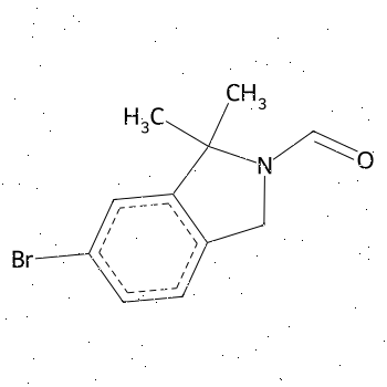 CC1(C)c2cc(Br)ccc2CN1C=O